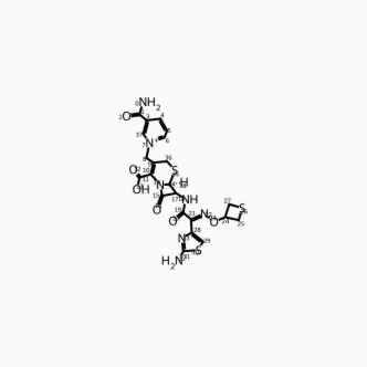 NC(=O)c1ccc[n+](CC2=C(C(=O)O)N3C(=O)C(NC(=O)C(=NOC4CSC4)c4csc(N)n4)[C@@H]3SC2)c1